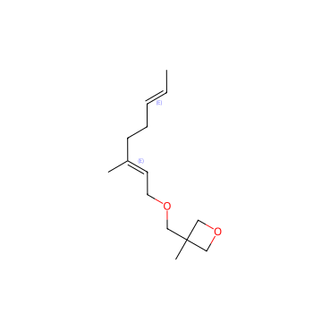 C/C=C/CC/C(C)=C/COCC1(C)COC1